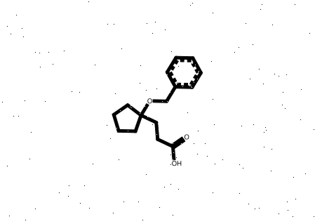 O=C(O)CCC1(OCc2ccccc2)CCCC1